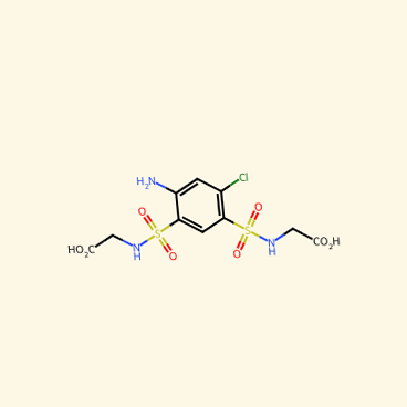 Nc1cc(Cl)c(S(=O)(=O)NCC(=O)O)cc1S(=O)(=O)NCC(=O)O